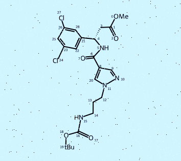 COC(=O)C[C@H](NC(=O)c1cnn(CCCNC(=O)OC(C)(C)C)c1)c1cc(Cl)cc(Cl)c1